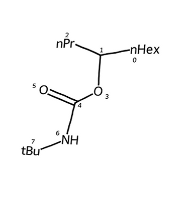 CCCCCCC(CCC)OC(=O)NC(C)(C)C